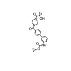 O=C(Nc1cccc(-c2ccc(C(=O)N3CCN(C(=O)C4(O)CC4)CC3)cc2)c1)OC1CC1